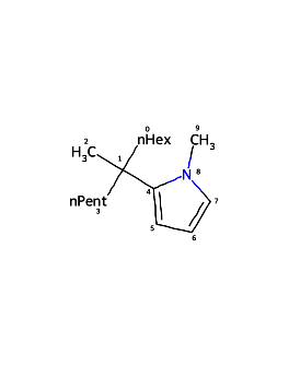 CCCCCCC(C)(CCCCC)c1cccn1C